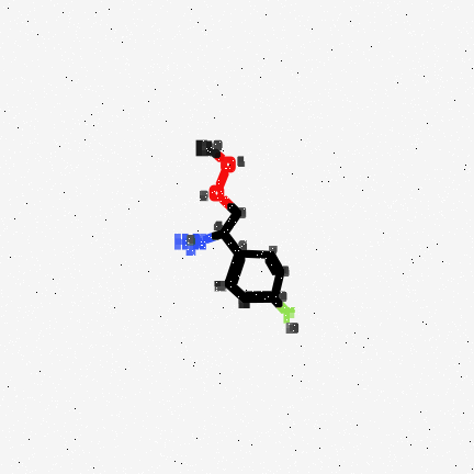 CCOOCC(N)c1ccc(F)cc1